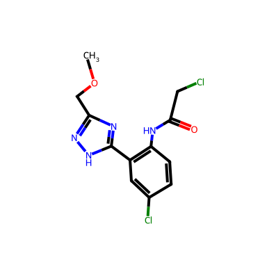 COCc1n[nH]c(-c2cc(Cl)ccc2NC(=O)CCl)n1